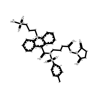 Cc1ccc(S(=O)(=O)N(CCCC(=O)ON2C(=O)CCC2=O)C(=O)c2c3ccccc3[n+](CCCS(=O)(=O)O)c3ccccc23)cc1